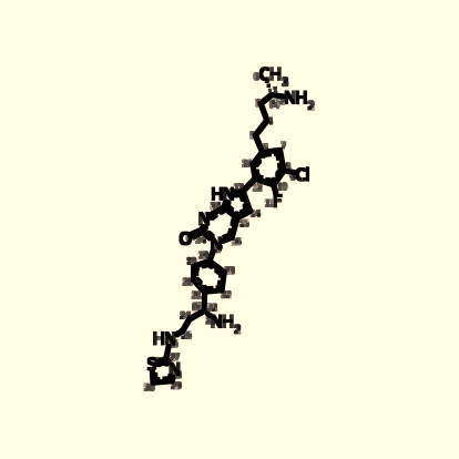 C[C@H](N)CCCc1cc(Cl)c(F)c(-c2cc3cn(-c4ccc([C@@H](N)CCNc5nccs5)cc4)c(=O)nc3[nH]2)c1